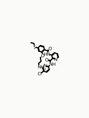 CCSc1ccc(C(=O)Nc2cccnc2C(=O)Nc2ccc(Cl)cn2)c(OCCCN)c1